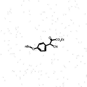 CCCCOc1ccc(C(C#N)C(=O)C(=O)OCC)cc1